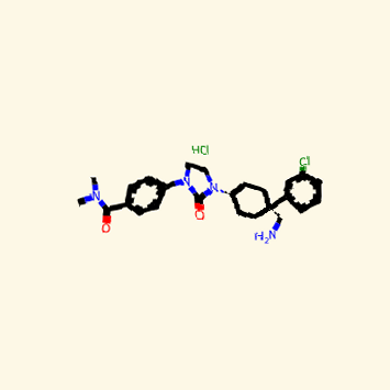 CN(C)C(=O)c1ccc(N2CCN([C@H]3CC[C@](CN)(c4cccc(Cl)c4)CC3)C2=O)cc1.Cl